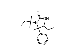 CCC(C)C(C)(c1ccccc1)N(C(=O)O)C(C)(C)CC